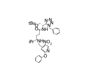 CC(C)C(CCC(=O)N[C@H](COC(C)(C)C)c1nnnn1Cc1ccccc1)NCc1cc(Oc2ccccc2)ncc1[N+](=O)[O-]